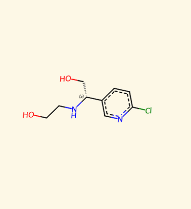 OCCN[C@H](CO)c1ccc(Cl)nc1